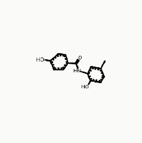 Cc1ccc(O)c(NC(=O)c2ccc(O)cc2)c1